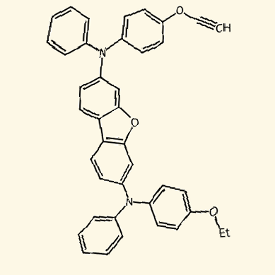 C#COc1ccc(N(c2ccccc2)c2ccc3c(c2)oc2cc(N(c4ccccc4)c4ccc(OCC)cc4)ccc23)cc1